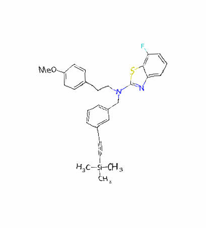 COc1ccc(CCN(Cc2cccc(C#C[Si](C)(C)C)c2)c2nc3cccc(F)c3s2)cc1